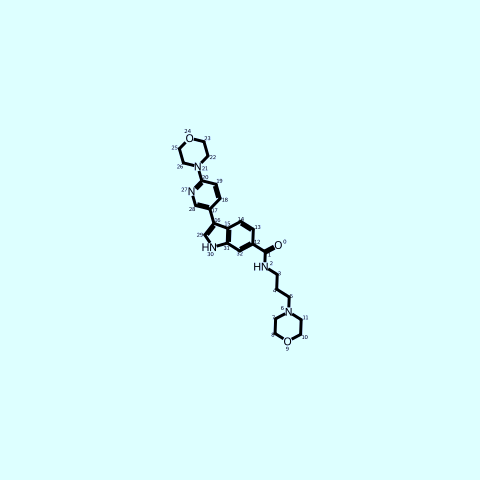 O=C(NCCCN1CCOCC1)c1ccc2c(-c3ccc(N4CCOCC4)nc3)c[nH]c2c1